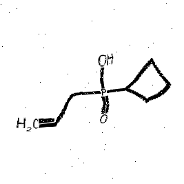 C=CCP(=O)(O)C1CCC1